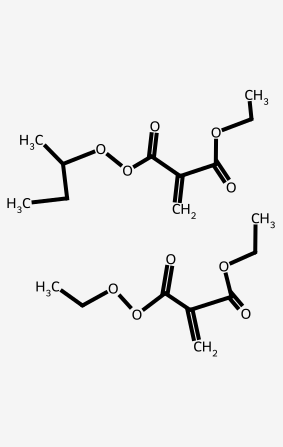 C=C(C(=O)OCC)C(=O)OOC(C)CC.C=C(C(=O)OCC)C(=O)OOCC